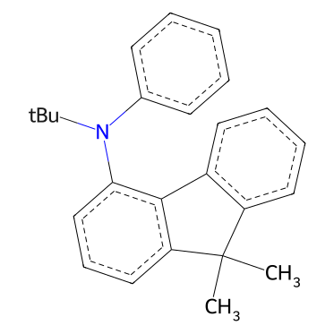 CC1(C)c2ccccc2-c2c(N(c3ccccc3)C(C)(C)C)cccc21